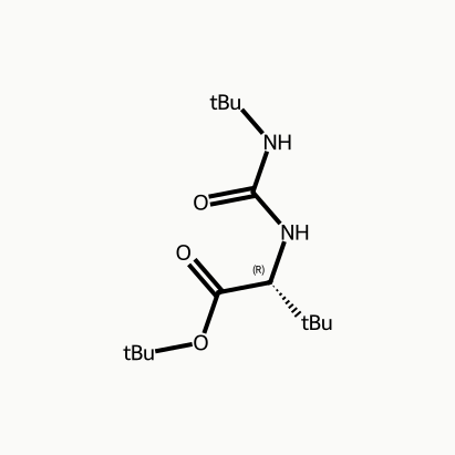 CC(C)(C)NC(=O)N[C@@H](C(=O)OC(C)(C)C)C(C)(C)C